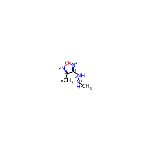 CNNc1nonc1C